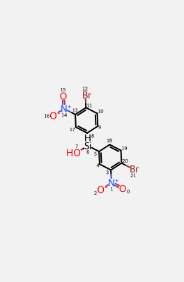 O=[N+]([O-])c1cc([SiH](O)c2ccc(Br)c([N+](=O)[O-])c2)ccc1Br